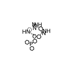 c1cc(OCCC2CCCCN2)cc(-c2n[nH]c3ccc(-c4ncn[nH]4)cc23)c1.c1ccc(P(c2ccccc2)c2ccccc2)cc1